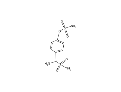 NC(c1ccc(OS(N)(=O)=O)cc1)S(N)(=O)=O